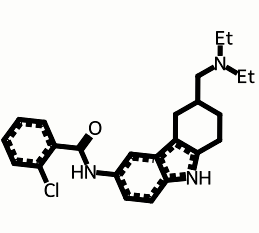 CCN(CC)CC1CCc2[nH]c3ccc(NC(=O)c4ccccc4Cl)cc3c2C1